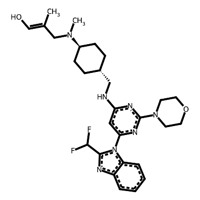 C/C(=C\O)CN(C)[C@H]1CC[C@H](CNc2cc(-n3c(C(F)F)nc4ccccc43)nc(N3CCOCC3)n2)CC1